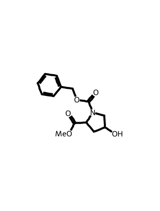 COC(=O)C1CC(O)CN1C(=O)OCc1ccccc1